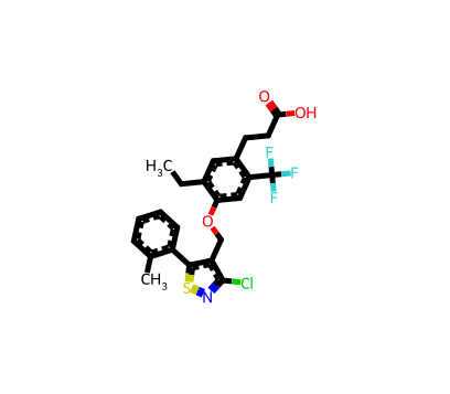 CCc1cc(CCC(=O)O)c(C(F)(F)F)cc1OCc1c(Cl)nsc1-c1ccccc1C